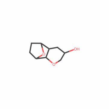 OC1COC2C3CCC(O3)C2C1